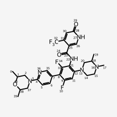 CC1CN(c2ccc(-c3c(F)cc(N4CCN(C)C(C)C4)c(NC(=O)c4c[nH]c(=O)cc4C(F)(F)F)c3F)cn2)CC(C)O1